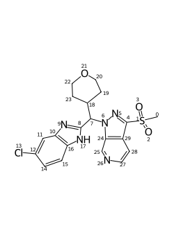 CS(=O)(=O)c1nn(C(c2nc3cc(Cl)ccc3[nH]2)C2CCOCC2)c2cnccc12